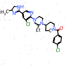 CC[C@H]1CN(c2ncc(C3=NC(C)CN3)cc2Cl)CCN1C1CCN(C(=O)c2ccc(Cl)cc2)CC1